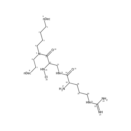 CCCCCCCCCCCCCCN(CCCCCCCCCCCC)C(=O)C(CNC(=O)C(N)CCCNC(=N)N)NCl